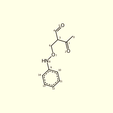 CC(=O)C(C=O)CONc1ccccc1